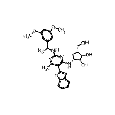 COc1cc(OC)cc(C(C)Nc2nc(C)c(-c3nc4ccccc4s3)c(N[C@@H]3C[C@H](CO)[C@@H](O)[C@H]3O)n2)c1